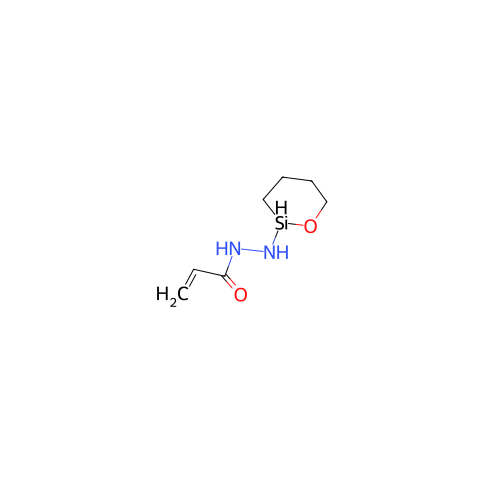 C=CC(=O)NN[SiH]1CCCCO1